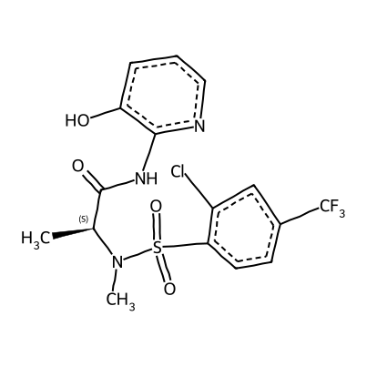 C[C@@H](C(=O)Nc1ncccc1O)N(C)S(=O)(=O)c1ccc(C(F)(F)F)cc1Cl